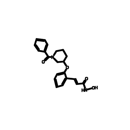 O=C(/C=C/c1ccccc1OC1CCCN(C(=O)c2ccccc2)C1)NO